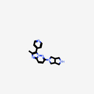 Cc1nc2ccc(N3CC4CNCC4C3)nn2c1-c1ccncc1